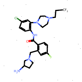 NC1CCN(Cc2cc(F)ccc2C(=O)Nc2ccc(Cl)cc2N2CCN(CCC(F)(F)F)CC2)C1